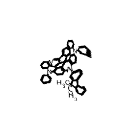 CC1(C)c2ccccc2-c2ccc(N3c4ccc(N(c5ccccc5)c5ccccc5)cc4C4(c5ccccc5-c5cnccc54)c4cc(N(c5ccccc5)c5ccccc5)ccc43)cc21